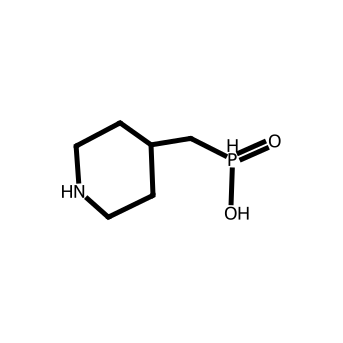 O=[PH](O)CC1CCNCC1